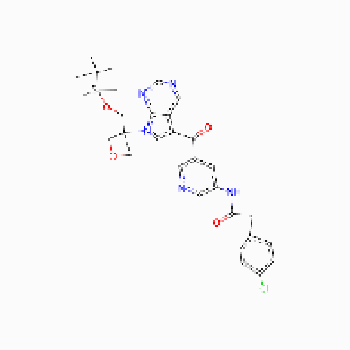 CC(C)(C)[Si](C)(C)OCC1(n2cc(C(=O)c3cncc(NC(=O)Cc4ccc(Cl)cc4)c3)c3cncnc32)COC1